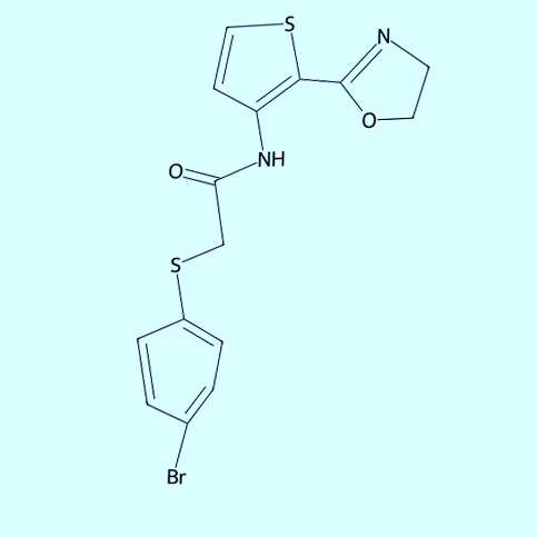 O=C(CSc1ccc(Br)cc1)Nc1ccsc1C1=NCCO1